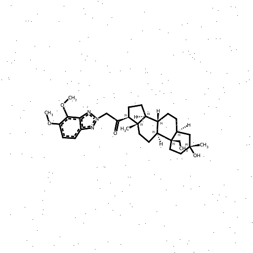 CC[C@]12CC[C@@](C)(O)C[C@@H]1CC[C@H]1[C@@H]3CC[C@H](C(=O)Cn4nc5ccc(OC)c(OC)c5n4)[C@@]3(C)CC[C@@H]12